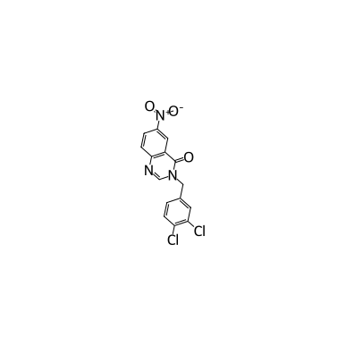 O=c1c2cc([N+](=O)[O-])ccc2ncn1Cc1ccc(Cl)c(Cl)c1